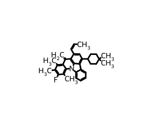 C=c1c2c(C)c(C)c(F)c(C)c2n2c3ccccc3c3c(C4CCC(C)(C)CC4)cc(/C=C\C)c1c32